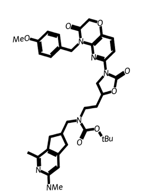 CNc1cc2c(c(C)n1)CC(CN(CCC1CN(c3ccc4c(n3)N(Cc3ccc(OC)cc3)C(=O)CO4)C(=O)O1)C(=O)OC(C)(C)C)C2